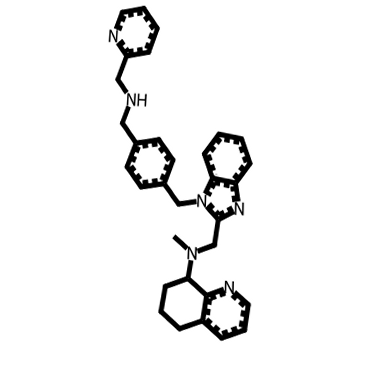 CN(Cc1nc2ccccc2n1Cc1ccc(CNCc2ccccn2)cc1)C1CCCc2cccnc21